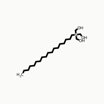 CCCCCCCCCCCCCCCCCC[Si](CO)(CO)CO